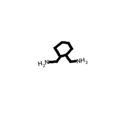 NC[C]1CCCCC1CN